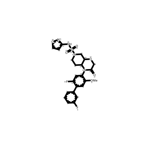 COc1cc(-c2cccc(F)c2)c(F)cc1N1C(=O)COC2CN(S(=O)(=O)Nc3ccon3)CCC21